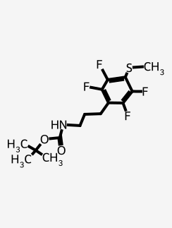 CSc1c(F)c(F)c(CCCNC(=O)OC(C)(C)C)c(F)c1F